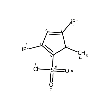 CC(C)C1=CC(C(C)C)=C(S(=O)(=O)Cl)C1C